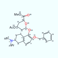 CCCN(CCC)C1CCc2c(ccc(OCc3ccccc3)c2OC2CC(OC(C)=O)CC(C(=O)OC)O2)C1